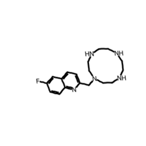 Fc1ccc2nc(CN3CCNCCNCCNCC3)ccc2c1